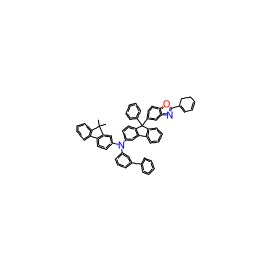 CC1(C)c2ccccc2-c2ccc(N(c3cccc(-c4ccccc4)c3)c3ccc4c(c3)-c3ccccc3C4(c3ccccc3)c3ccc4oc(C5=CC=CCC5)nc4c3)cc21